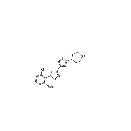 CSc1cccc(Cl)c1C1CC(c2csc(C3CCNCC3)n2)=NO1